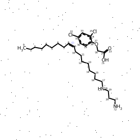 CCCCCCCC/C=C\CCCCCCCCNCCCN.O=C(O)COc1ccc(Cl)cc1Cl